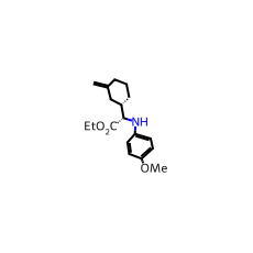 C=C1CCC[C@H]([C@H](Nc2ccc(OC)cc2)C(=O)OCC)C1